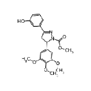 COC(=O)N1N=C(c2cccc(O)c2)CC1c1cc(OC)c(OC)c(OC)c1